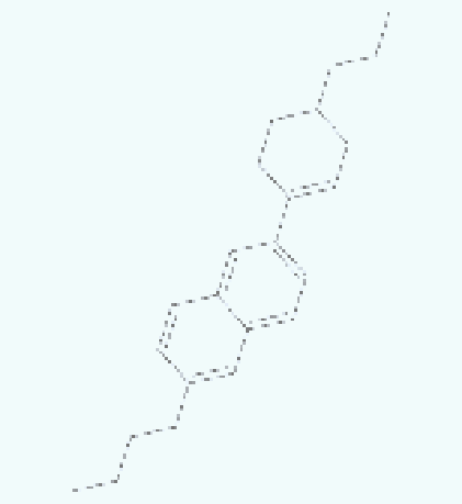 CCCCc1ccc2cc(C3=CCC(CCC)CC3)ccc2c1